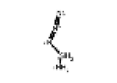 [N-]=[N+]=N[SiH2]N